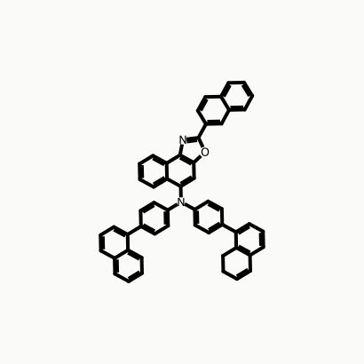 C1=Cc2cccc(-c3ccc(N(c4ccc(-c5cccc6ccccc56)cc4)c4cc5oc(-c6ccc7ccccc7c6)nc5c5ccccc45)cc3)c2CC1